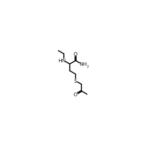 CCNC(CCSCC(C)=O)C(N)=O